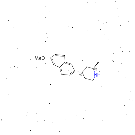 COc1ccc2cc([C@H]3CCN[C@H](C)C3)ccc2c1